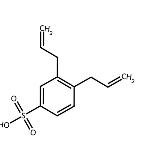 C=CCc1ccc(S(=O)(=O)O)cc1CC=C